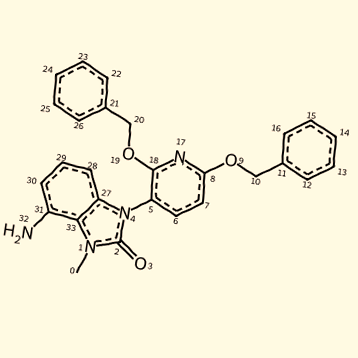 Cn1c(=O)n(-c2ccc(OCc3ccccc3)nc2OCc2ccccc2)c2cccc(N)c21